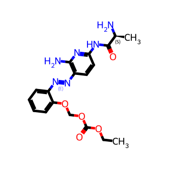 CCOC(=O)OCOc1ccccc1/N=N/c1ccc(NC(=O)[C@H](C)N)nc1N